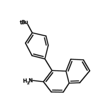 CC(C)(C)c1ccc(-c2c(N)ccc3ccccc23)cc1